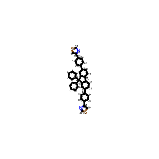 c1ccc(C2(c3ccccc3)c3cc(-c4ccc(-c5cscn5)cc4)ccc3-c3ccc(-c4ccc(-c5cscn5)cc4)cc32)cc1